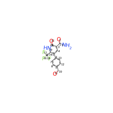 NC(=O)c1cc(-c2ccc(C=O)cc2)c(C(F)(F)F)[nH]c1=O